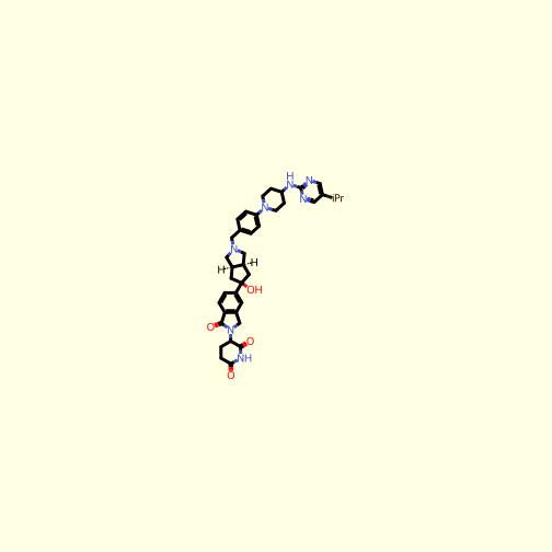 CC(C)c1cnc(NC2CCN(c3ccc(CN4C[C@@H]5CC(O)(c6ccc7c(c6)CN(C6CCC(=O)NC6=O)C7=O)C[C@@H]5C4)cc3)CC2)nc1